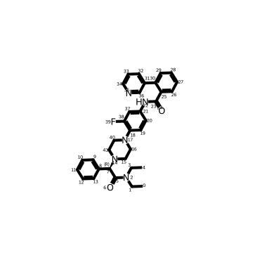 CCN(CC)C(=O)[C@@H](c1ccccc1)N1CCN(c2ccc(NC(=O)c3ccccc3-c3cccnc3)cc2F)CC1